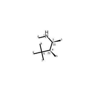 CN[C@@H](C)[C@@H](C)C(C)(C)C